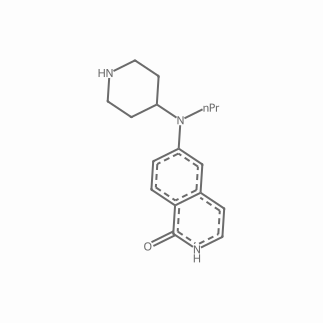 CCCN(c1ccc2c(=O)[nH]ccc2c1)C1CCNCC1